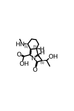 CN[C@H]1CCC[C@H]2C1=C(C(=O)O)N1C(=O)[C@H](C(C)O)[C@@H]21